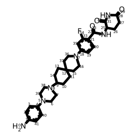 Nc1ccc(N2CCN(C3CCC4(CC3)CCN(c3ccc(C(=O)NC5CCC(=O)NC5=O)c(F)c3)CC4)CC2)cc1